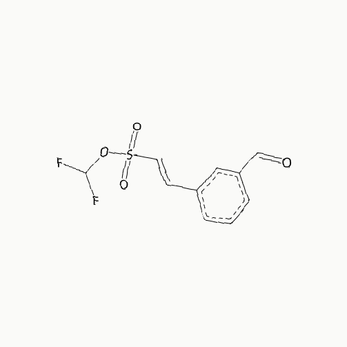 O=Cc1cccc(C=CS(=O)(=O)OC(F)F)c1